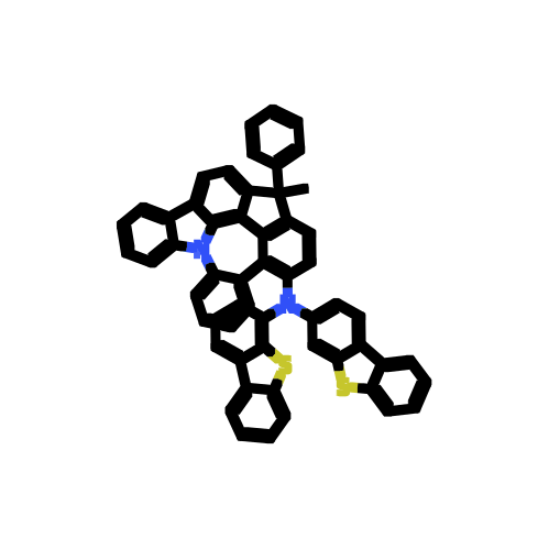 CC1(c2ccccc2)c2ccc(N(c3ccc4c(c3)sc3ccccc34)c3cccc4c3sc3ccccc34)c3c2-c2c1ccc1c4ccccc4n(c21)-c1ccccc1-3